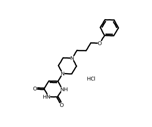 Cl.O=c1cc(N2CCN(CCCOc3ccccc3)CC2)[nH]c(=O)[nH]1